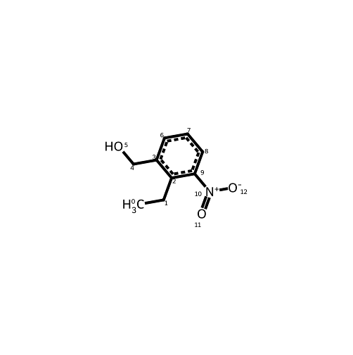 CCc1c(CO)cccc1[N+](=O)[O-]